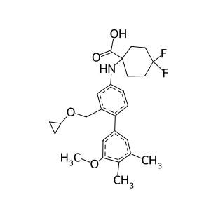 COc1cc(-c2ccc(NC3(C(=O)O)CCC(F)(F)CC3)cc2COC2CC2)cc(C)c1C